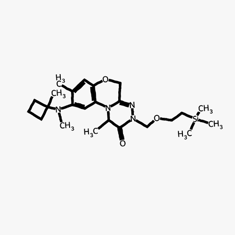 Cc1cc2c(cc1N(C)C1(C)CCC1)N1C(=NN(COCC[Si](C)(C)C)C(=O)C1C)CO2